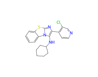 Clc1cnccc1-c1nc2sc3ccccc3n2c1NC1CCCCC1